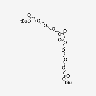 CC(C)(C)OC(=O)CCOCCOCCOCCOC(=O)CC(=O)OCCOCCOCCOCCC(=O)OC(C)(C)C